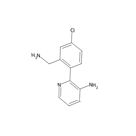 NCc1cc(Cl)ccc1-c1ncc[c]c1N